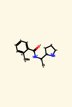 CCC(NC(=O)c1ccccc1OC)C1CCCN1